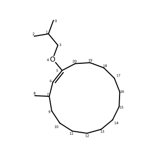 CC(C)COC1=CC(C)CCCCCCCCCCCC1